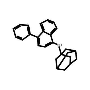 c1ccc(-c2ccc(NC34CC5CC(CC(C5)C3)C4)c3ccccc23)cc1